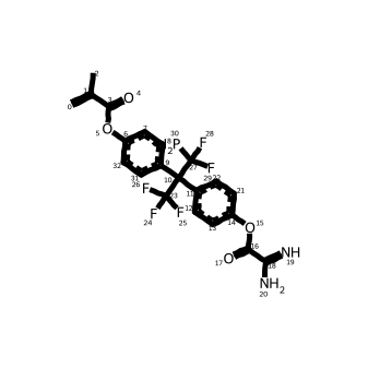 C=C(C)C(=O)Oc1ccc(C(c2ccc(OC(=O)C(=N)N)cc2)(C(F)(F)F)C(F)(F)P)cc1